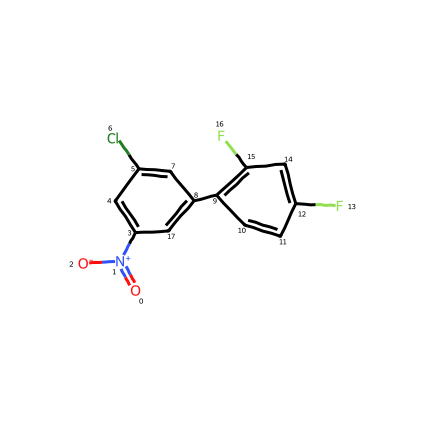 O=[N+]([O-])c1cc(Cl)cc(-c2ccc(F)cc2F)c1